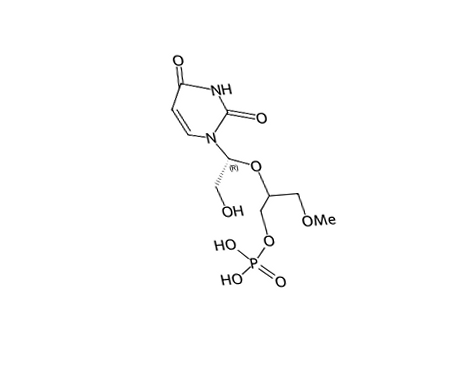 COCC(COP(=O)(O)O)O[C@H](CO)n1ccc(=O)[nH]c1=O